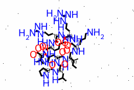 CC[C@H](C)[C@H](NC(=O)[C@H](Cc1c[nH]cn1)NC(=O)[C@H](CC(C)C)NC(=O)[C@@H]1CCCN1)C(=O)N[C@@H](CCCCN)C(=O)N[C@@H](CCCNC(=N)N)C(=O)N[C@@H](CCCNC(=N)N)C(=O)N[C@@H](CCCCN)C(=O)N[C@H](C(=O)O)C(C)C